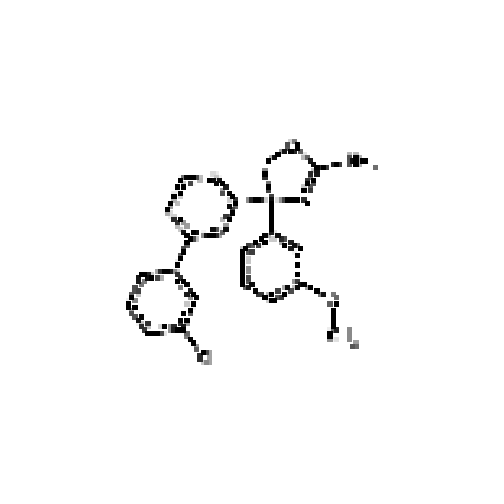 COc1cccc(C2(c3cccc(-c4cccc(Cl)c4)c3)COC(N)=N2)c1